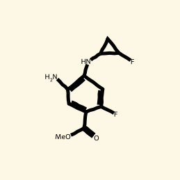 COC(=O)c1cc(N)c(NC2CC2F)cc1F